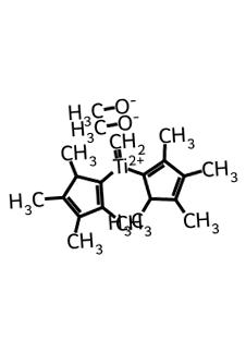 C[O-].C[O-].[CH2]=[Ti+2]([C]1=C(C)C(C)=C(C)C1C)[C]1=C(C)C(C)=C(C)C1C